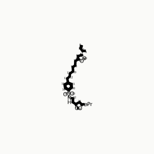 C=CC(C)[C@H]1CC(CCCCCCCc2ccc(S(=O)(=O)NCCC3CC(CCC)OO3)cc2)OO1